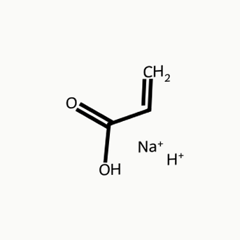 C=CC(=O)O.[H+].[Na+]